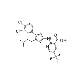 CC(C)CCc1sc(Nc2ncc(C(F)(F)F)cc2C(=O)O)nc1-c1ccc(Cl)c(Cl)c1